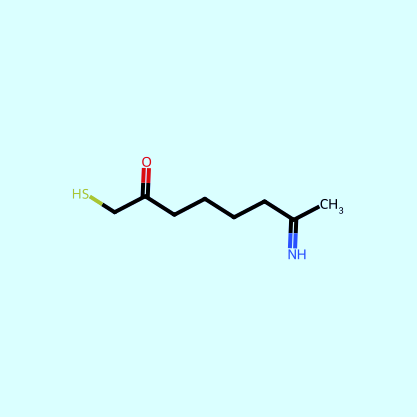 CC(=N)CCCCC(=O)CS